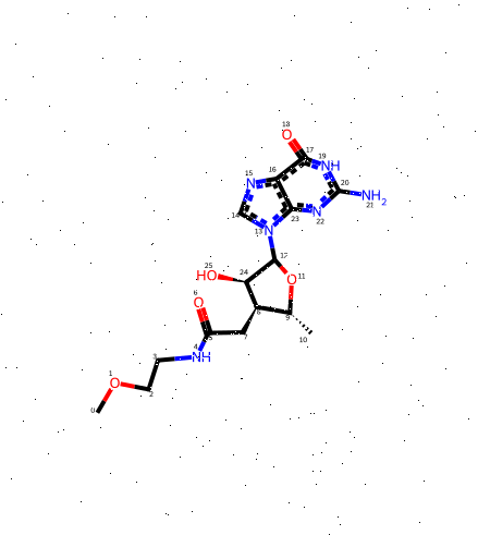 COCCNC(=O)C[C@@H]1[C@@H](C)OC(n2cnc3c(=O)[nH]c(N)nc32)[C@@H]1O